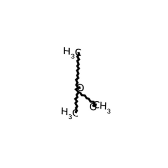 CCCCCCCCCCCCCCCC(=O)CC(CCCCCCCCC)CCCCCCCC(C)=O